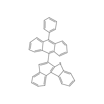 c1ccc(-c2c3ccccc3c(-c3cc4ccccc4c4c3sc3ccccc34)c3ccccc23)cc1